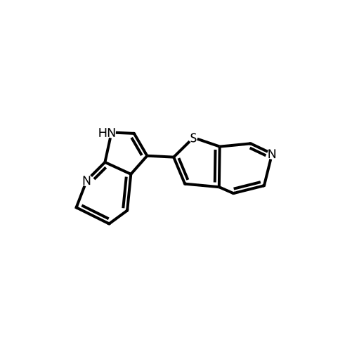 c1cnc2[nH]cc(-c3cc4ccncc4s3)c2c1